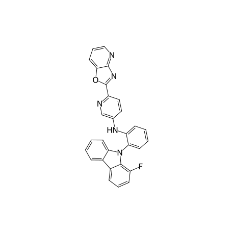 Fc1cccc2c3ccccc3n(-c3ccccc3Nc3ccc(-c4nc5ncccc5o4)nc3)c12